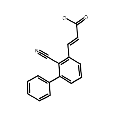 N#Cc1c(C=CC(=O)Cl)cccc1-c1ccccc1